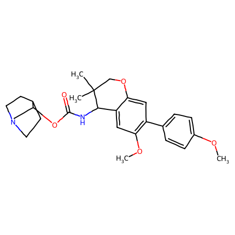 COc1ccc(-c2cc3c(cc2OC)C(NC(=O)OC2CN4CCC2CC4)C(C)(C)CO3)cc1